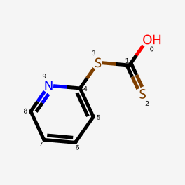 OC(=S)Sc1ccccn1